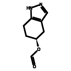 O=CO[C@@H]1CCc2[nH]ncc2C1